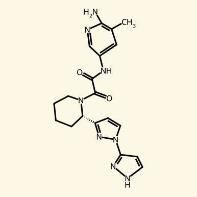 Cc1cc(NC(=O)C(=O)N2CCCC[C@H]2c2ccn(-c3cc[nH]n3)n2)cnc1N